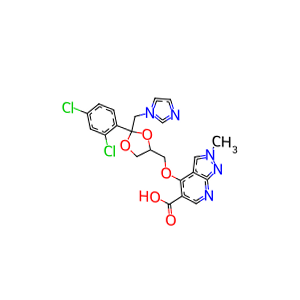 Cn1cc2c(OCC3COC(Cn4ccnc4)(c4ccc(Cl)cc4Cl)O3)c(C(=O)O)cnc2n1